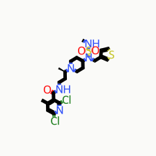 CNS(=O)(=O)N(Cc1ccsc1)C1CCN([C@H](C)CCNC(=O)c2c(C)cc(Cl)nc2Cl)CC1